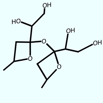 CC1CC(OC2(C(O)CO)CC(C)O2)(C(O)CO)O1